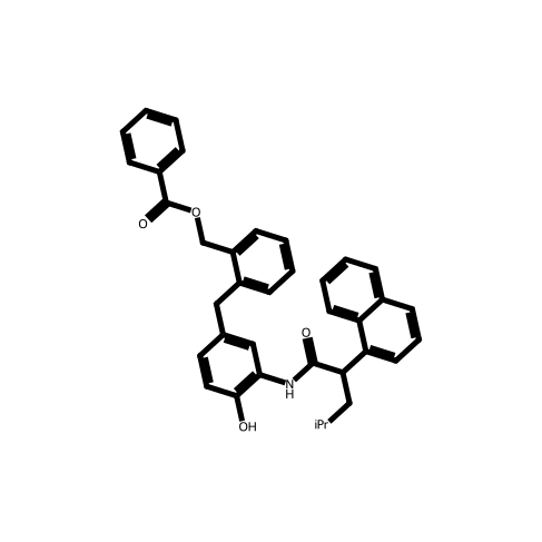 CC(C)CC(C(=O)Nc1cc(Cc2ccccc2COC(=O)c2ccccc2)ccc1O)c1cccc2ccccc12